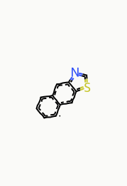 [c]1cccc2cc3ncsc3cc12